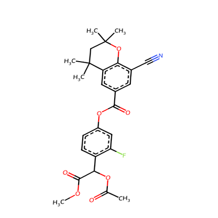 COC(=O)C(OC(C)=O)c1ccc(OC(=O)c2cc(C#N)c3c(c2)C(C)(C)CC(C)(C)O3)cc1F